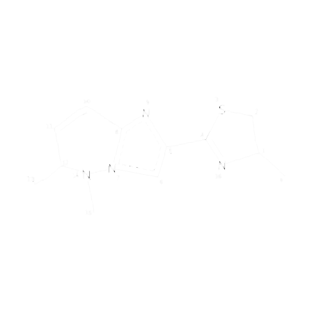 CC1CSC(c2cn3c(n2)C=CC(C)N3C)=N1